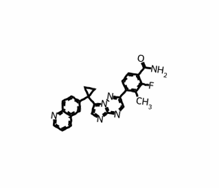 Cc1c(-c2cnc3ncc(C4(c5ccc6ncccc6c5)CC4)n3n2)ccc(C(N)=O)c1F